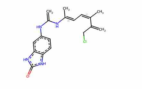 C=C(N/C(C)=C/C=C(/C)C(=C)CCl)Nc1ccc2[nH]c(=O)[nH]c2c1